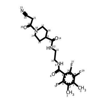 Cc1c(C)c(F)c(C(=O)NCCNC(=O)C2CCN(C(=O)CC#N)CC2)c(F)c1F